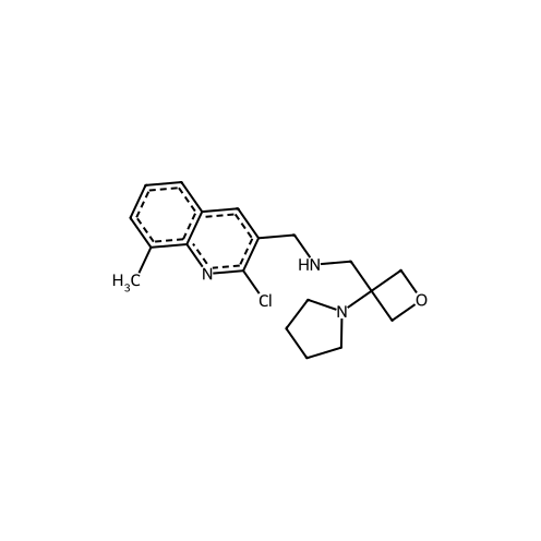 Cc1cccc2cc(CNCC3(N4CCCC4)COC3)c(Cl)nc12